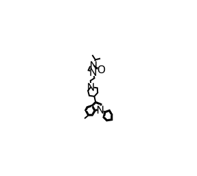 Cc1ccc2c(C3CCN(CCN4CCN(C(C)C)C4=O)CC3)cn(-c3ccccc3)c2c1